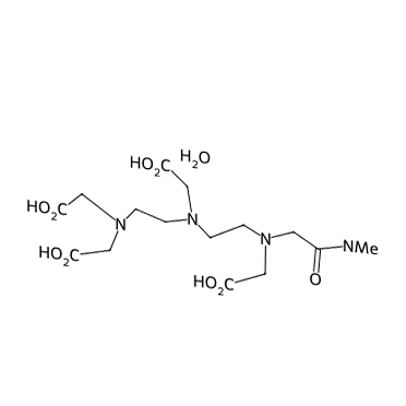 CNC(=O)CN(CCN(CCN(CC(=O)O)CC(=O)O)CC(=O)O)CC(=O)O.O